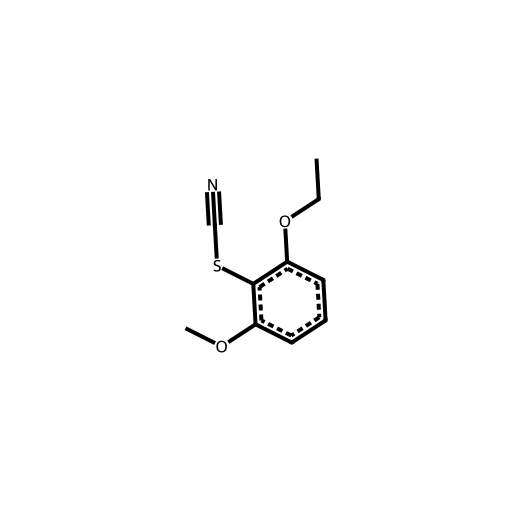 CCOc1cccc(OC)c1SC#N